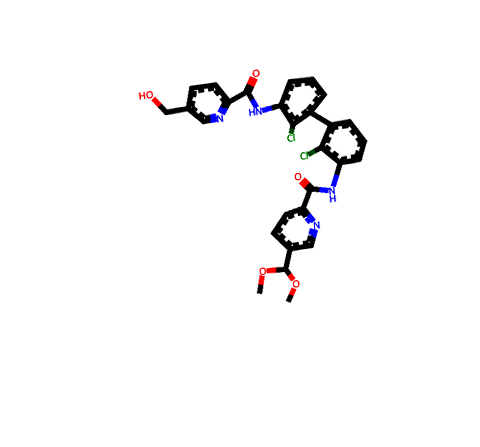 COC(OC)c1ccc(C(=O)Nc2cccc(-c3cccc(NC(=O)c4ccc(CO)cn4)c3Cl)c2Cl)nc1